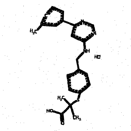 Cc1cccc(-c2cc(NCc3ccc(SC(C)(C)C(=O)O)cc3)ncn2)c1.Cl